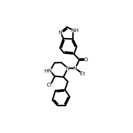 CCN(C(=O)c1ccc2nc[nH]c2c1)N1CCNC(Cl)C1Cc1ccccc1